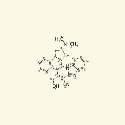 CN(C)[C@H]1CCN(c2c(-c3ccccc3)c(CO)c(C#N)c3nc4ccccc4n23)C1